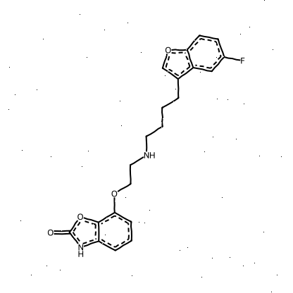 O=c1[nH]c2cccc(OCCNCCCCc3coc4ccc(F)cc34)c2o1